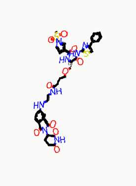 CS(=O)(=O)n1ccc(C(=O)N[C@@H](COCCCC(=O)NCCNc2ccc3c(c2)C(=O)N(C2CCC(=O)NC2=O)C3=O)C(=O)Nc2nc(-c3ccccc3)cs2)c1